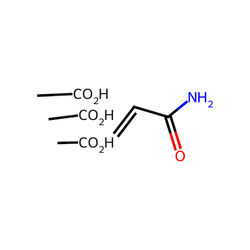 C=CC(N)=O.CC(=O)O.CC(=O)O.CC(=O)O